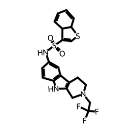 O=S(=O)(Nc1ccc2[nH]c3c(c2c1)CCN(CC(F)(F)F)C3)C1=CSC2C=CC=CC12